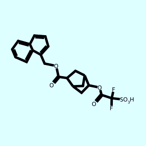 O=C(OCc1cccc2ccccc12)C1CC2CC1CC2OC(=O)C(F)(F)S(=O)(=O)O